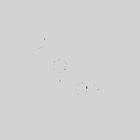 Cc1cc(COc2c(Br)cc(CCC(=O)O)cc2Br)cc(NS(C)(=O)=O)c1